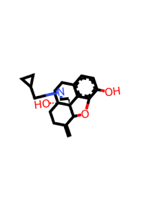 C=C1CC[C@@]2(O)C3Cc4ccc(O)c5c4[C@@]2(CCN3CC2CC2)C1O5